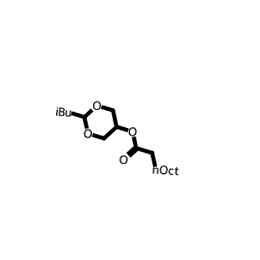 CCCCCCCCCC(=O)OC1COC(C(C)CC)OC1